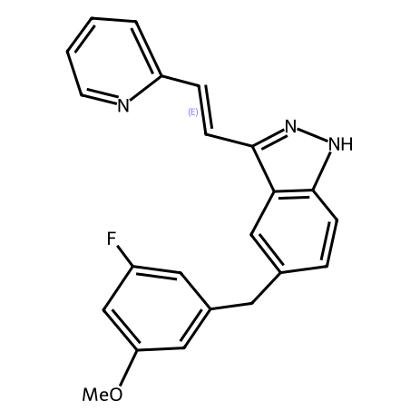 COc1cc(F)cc(Cc2ccc3[nH]nc(/C=C/c4ccccn4)c3c2)c1